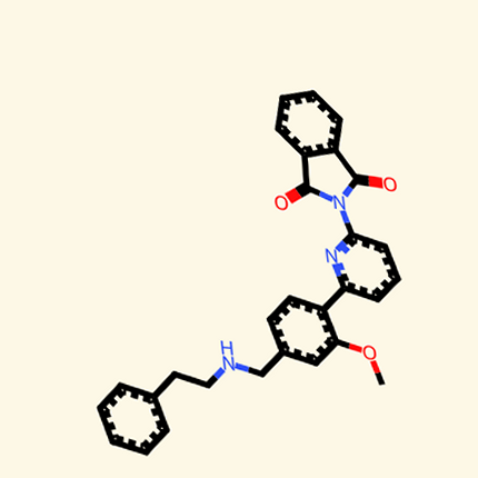 COc1cc(CNCCc2ccccc2)ccc1-c1cccc(N2C(=O)c3ccccc3C2=O)n1